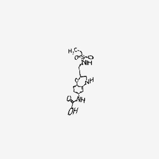 CCS(=O)(=O)NCC1CNc2cc(NC(=O)O)ccc2O1